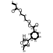 C=CC(=O)OCCCOOC(=O)c1cccc(C2N=C(C)ON2)c1